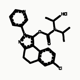 CC(C)N(C(=O)Oc1c2c(nn1-c1cccnc1)CCc1cc(Cl)ccc1-2)C(C)C.Cl